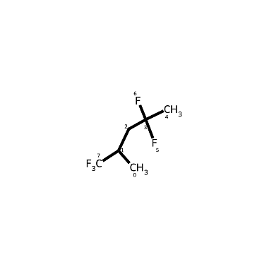 CC(CC(C)(F)F)C(F)(F)F